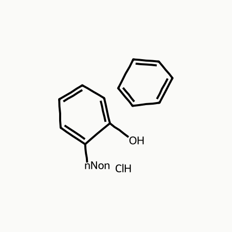 CCCCCCCCCc1ccccc1O.Cl.c1ccccc1